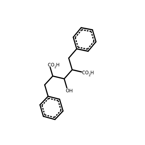 O=C(O)C(Cc1ccccc1)C(O)C(Cc1ccccc1)C(=O)O